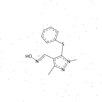 Cc1nn(C)c(Sc2ccccc2)c1/C=N/O